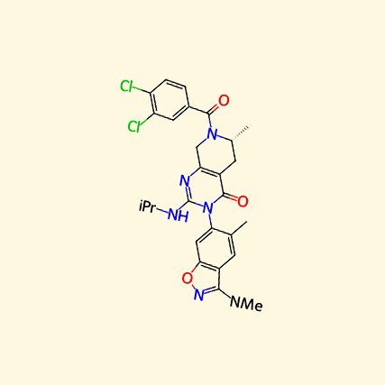 CNc1noc2cc(-n3c(NC(C)C)nc4c(c3=O)C[C@@H](C)N(C(=O)c3ccc(Cl)c(Cl)c3)C4)c(C)cc12